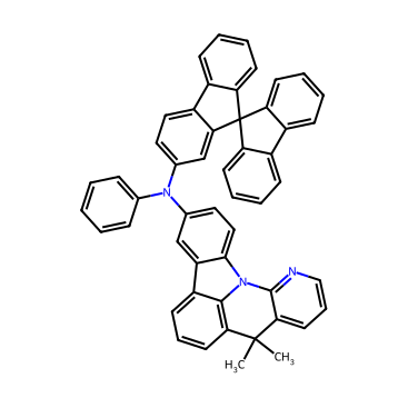 CC1(C)c2cccnc2-n2c3ccc(N(c4ccccc4)c4ccc5c(c4)C4(c6ccccc6-c6ccccc64)c4ccccc4-5)cc3c3cccc1c32